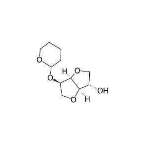 O[C@H]1CO[C@H]2[C@@H]1OC[C@H]2OC1CCCCO1